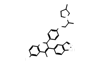 CC1=C(c2ccc3[nH]ncc3c2)C(c2ccc(OCC(C)N3CCC(C)C3)cc2)Oc2ccc(O)cc21